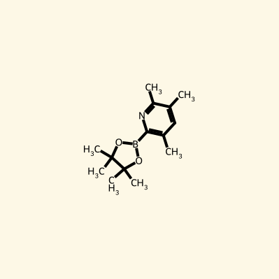 Cc1cc(C)c(B2OC(C)(C)C(C)(C)O2)nc1C